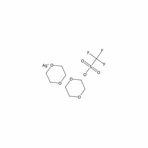 C1COCCO1.C1COCCO1.O=S(=O)([O-])C(F)(F)F.[Ag+]